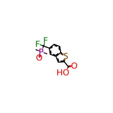 CP(C)(=O)C(F)(F)c1ccc2sc(C(=O)O)cc2c1